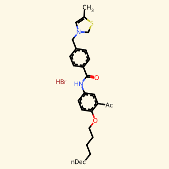 Br.CCCCCCCCCCCCCCOc1ccc(NC(=O)c2ccc(CN3C=C(C)SC3)cc2)cc1C(C)=O